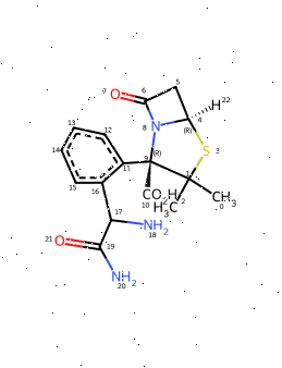 CC1(C)S[C@@H]2CC(=O)N2[C@@]1(C(=O)O)c1ccccc1C(N)C(N)=O